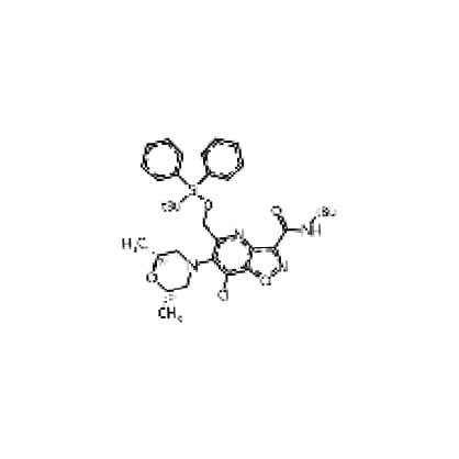 C[C@@H]1CN(c2c(CO[Si](c3ccccc3)(c3ccccc3)C(C)(C)C)nc3c(C(=O)NC(C)(C)C)noc3c2Cl)C[C@H](C)O1